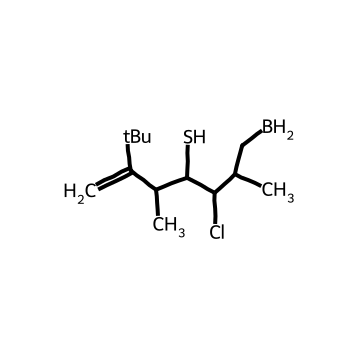 BCC(C)C(Cl)C(S)C(C)C(=C)C(C)(C)C